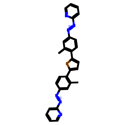 Cc1cc(/N=N/c2ccccn2)ccc1-c1ccc(-c2ccc(/N=N/c3ccccn3)cc2C)s1